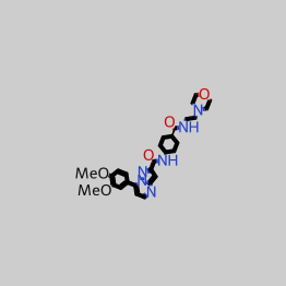 COc1ccc(-c2ccnc3cc(C(=O)N[C@H]4CC[C@H](C(=O)NCCN5CCOCC5)CC4)nn23)cc1OC